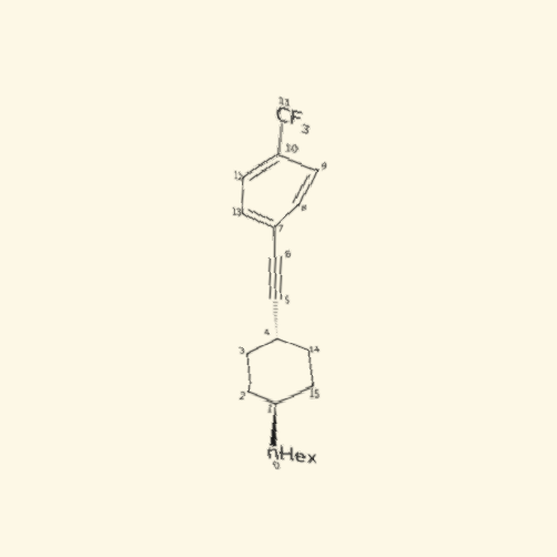 CCCCCC[C@H]1CC[C@H](C#Cc2ccc(C(F)(F)F)cc2)CC1